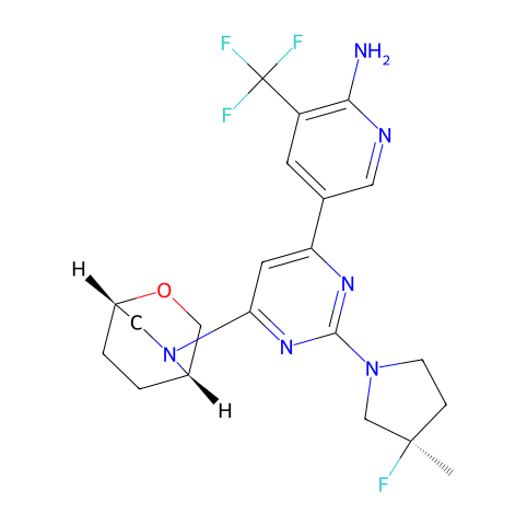 C[C@@]1(F)CCN(c2nc(-c3cnc(N)c(C(F)(F)F)c3)cc(N3C[C@@H]4CC[C@H]3CO4)n2)C1